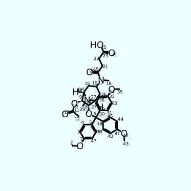 COc1ccc(C(O[C@H]2[C@@H](OC(C)=O)[C@@H]3CC(N(C)C(=O)CCC(=O)O)C[C@H]2N3C)(c2ccc(OC)cc2)c2ccc(OC)cc2)cc1